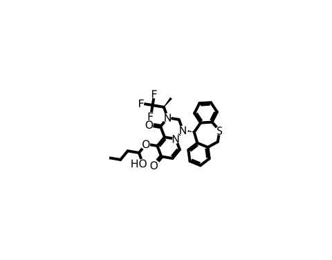 CCCC(O)Oc1c2n(ccc1=O)N([C@H]1c3ccccc3CSc3ccccc31)CN([C@H](C)C(F)(F)F)C2=O